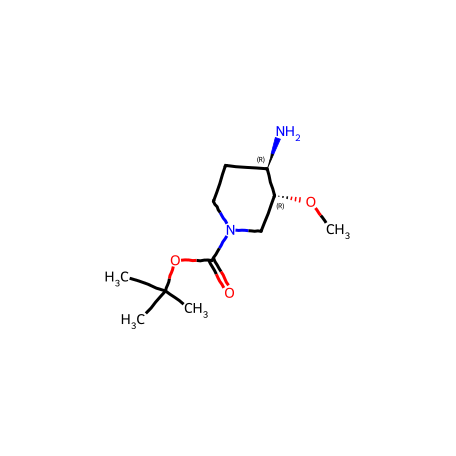 CO[C@@H]1CN(C(=O)OC(C)(C)C)CC[C@H]1N